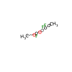 CCCCCCOc1ccc(COC2CCC(c3ccc(-c4ccc(C)cc4)c(F)c3F)CC2)cc1F